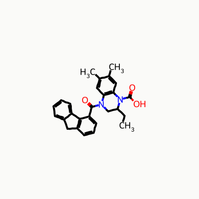 CCC1CN(C(=O)c2cccc3c2-c2ccccc2C3)c2cc(C)c(C)cc2N1C(=O)O